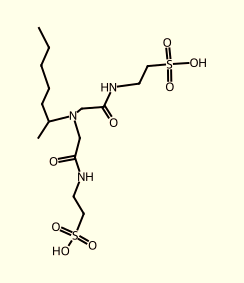 CCCCCC(C)N(CC(=O)NCCS(=O)(=O)O)CC(=O)NCCS(=O)(=O)O